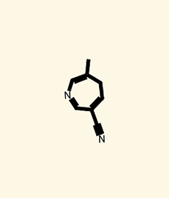 CC1=CN=CC(C#N)=CC1